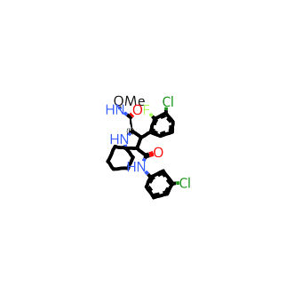 CONC(=O)[C@@H]1NC2(CCCCC2)C(C(=O)Nc2cccc(Cl)c2)C1c1cccc(Cl)c1F